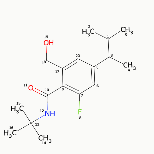 CC(C)C(C)c1cc(F)c(C(=O)NC(C)(C)C)c(CO)c1